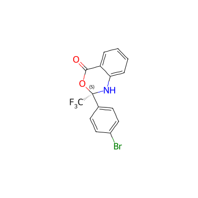 O=C1O[C@@](c2ccc(Br)cc2)(C(F)(F)F)Nc2ccccc21